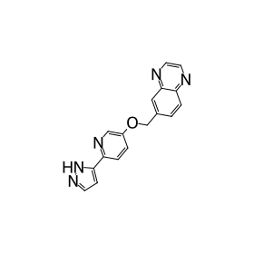 c1cc(-c2ccc(OCc3ccc4nccnc4c3)cn2)[nH]n1